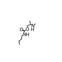 CCCCNC(=O)OCC(C)NC